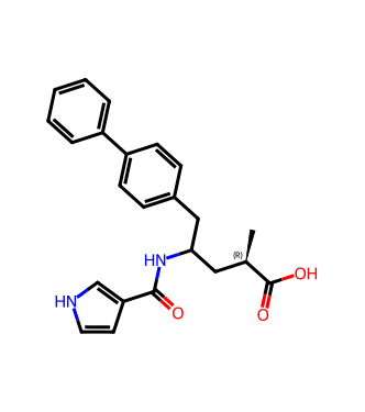 C[C@H](CC(Cc1ccc(-c2ccccc2)cc1)NC(=O)c1cc[nH]c1)C(=O)O